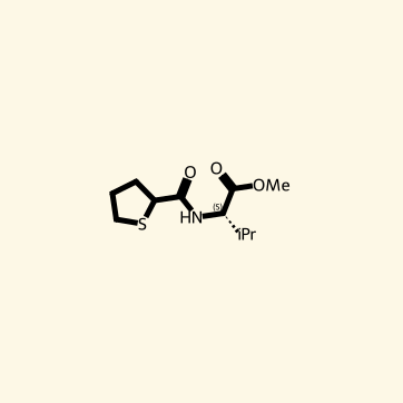 COC(=O)[C@@H](NC(=O)C1CCCS1)C(C)C